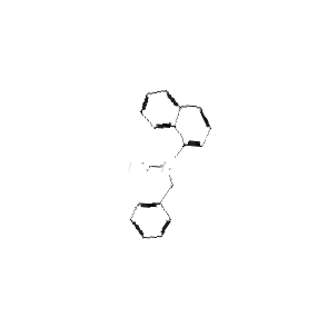 NN(Cc1ccccc1)c1cccc2ccccc12